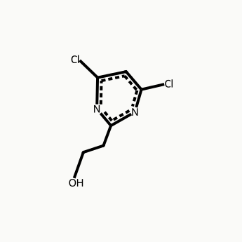 OCCc1nc(Cl)cc(Cl)n1